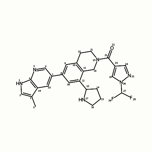 Cc1c[nH]c2ncc(-c3cc4c(c(C5CCCN5)c3)CN(C(=O)c3cnn(C(F)F)c3)CC4)cc12